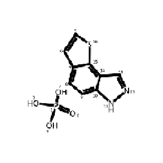 O=P(O)(O)O.c1cc2ccc3[nH]ncc3c2s1